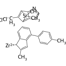 CC1=C2C3=NC=CC3=C1[Si]2(C)C.CC1=Cc2c(-c3ccc(C)cc3)cccc2[CH]1[Zr+2].[Cl-].[Cl-]